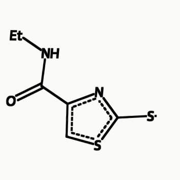 CCNC(=O)c1csc([S])n1